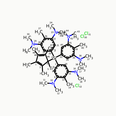 CC1=C(C)[C]([Ti+3])([Si](c2cc(N(C)C)c(C)c(N(C)C)c2)(c2cc(N(C)C)c(C)c(N(C)C)c2)c2cc(N(C)C)c(C)c(N(C)C)c2)C(C)=C1C.[Cl-].[Cl-].[Cl-]